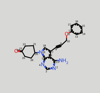 Nc1ncnc2c1c(C#CCOc1ccccc1)cn2C1CCC(=O)CC1